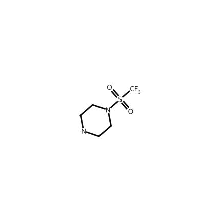 O=S(=O)(N1CC[N]CC1)C(F)(F)F